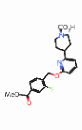 COC(=O)c1ccc(COc2cccc(C3CCN(C(=O)O)CC3)n2)c(F)c1